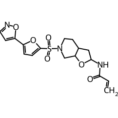 C=CC(=O)NC1CC2CCN(S(=O)(=O)c3ccc(-c4ccno4)o3)CC2O1